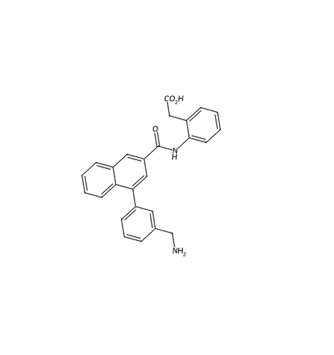 NCc1cccc(-c2cc(C(=O)Nc3ccccc3CC(=O)O)cc3ccccc23)c1